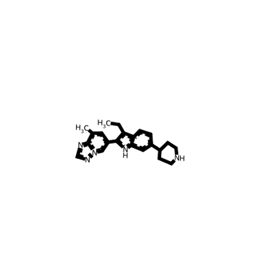 CCc1c(-c2cc(C)c3ncnn3c2)[nH]c2cc(C3CCNCC3)ccc12